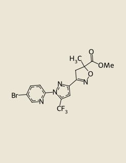 COC(=O)C1(C)CC(c2cc(C(F)(F)F)n(-c3ccc(Br)cn3)n2)=NO1